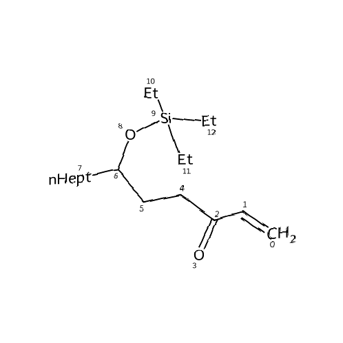 C=CC(=O)CCC(CCCCCCC)O[Si](CC)(CC)CC